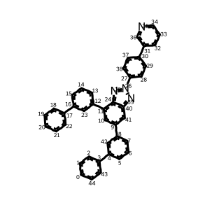 c1ccc(-c2cccc(-c3cc(-c4cccc(-c5ccccc5)c4)c4nn(-c5ccc(-c6cccnc6)cc5)nc4c3)c2)cc1